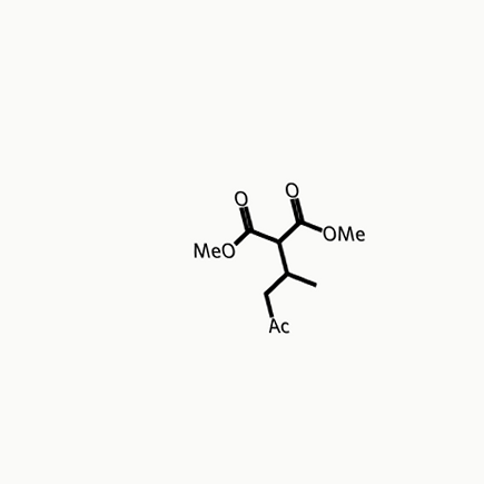 COC(=O)C(C(=O)OC)C(C)CC(C)=O